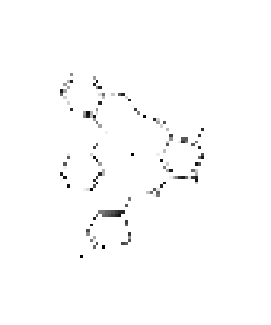 Fc1cnc(OCc2ccccc2)nc1OCCc1ccccc1Oc1ccccc1